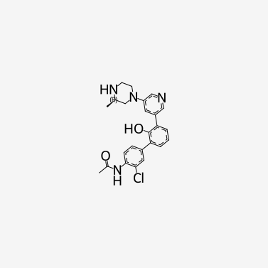 CC(=O)Nc1ccc(-c2cccc(-c3cncc(N4CCN[C@H](C)C4)c3)c2O)cc1Cl